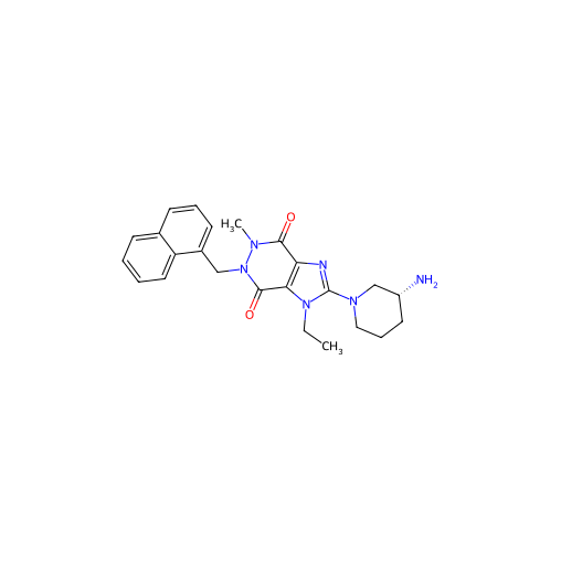 CCn1c(N2CCC[C@@H](N)C2)nc2c(=O)n(C)n(Cc3cccc4ccccc34)c(=O)c21